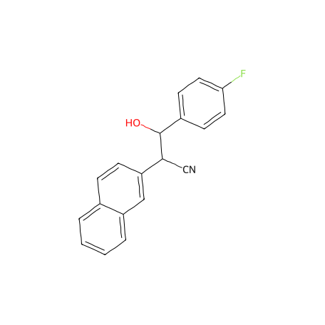 N#CC(c1ccc2ccccc2c1)C(O)c1ccc(F)cc1